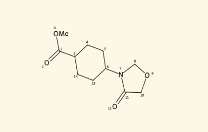 COC(=O)C1CCC(N2COCC2=O)CC1